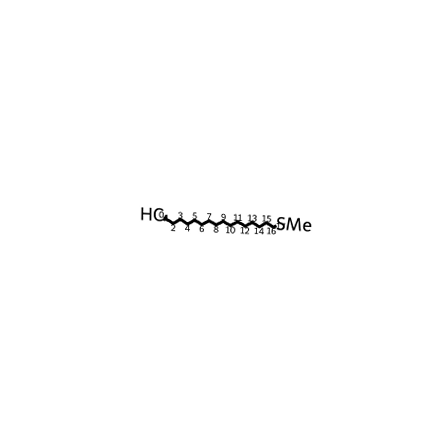 C#CCCCCCCCCCCCCCCCSC